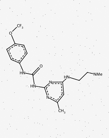 CNCCNc1cc(C)nc(NC(=O)Nc2ccc(OC(F)(F)F)cc2)n1